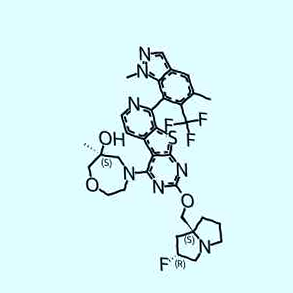 Cc1cc2cnn(C)c2c(-c2nccc3c2sc2nc(OC[C@@]45CCCN4C[C@H](F)C5)nc(N4CCOC[C@@](C)(O)C4)c23)c1C(F)(F)F